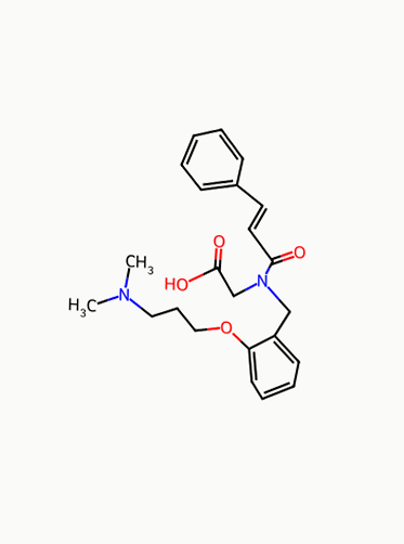 CN(C)CCCOc1ccccc1CN(CC(=O)O)C(=O)/C=C/c1ccccc1